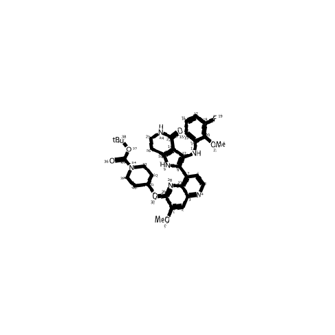 COc1cc2nccc(-c3[nH]c4c(c3Nc3cccc(F)c3OC)C(=O)NCC4)c2nc1OC1CCN(C(=O)OC(C)(C)C)CC1